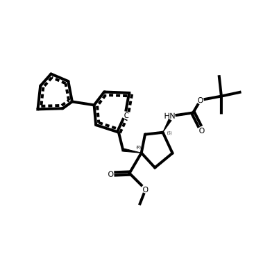 COC(=O)[C@@]1(Cc2cccc(-c3ccccc3)c2)CC[C@H](NC(=O)OC(C)(C)C)C1